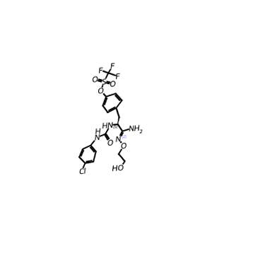 N/C(=N\OCCO)[C@H](Cc1ccc(OS(=O)(=O)C(F)(F)F)cc1)NC(=O)Nc1ccc(Cl)cc1